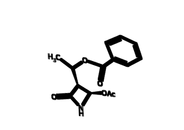 CC(=O)O[C@H]1NC(=O)[C@H]1C(C)OC(=O)c1ccccc1